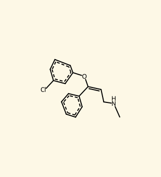 CNCC=C(Oc1cccc(Cl)c1)c1ccccc1